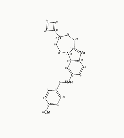 N#Cc1ccc(CNc2ccc3nc4n(c3c2)CCN(C2=CC=C2)CC4)cc1